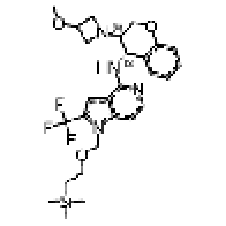 COC1CN([C@H]2COc3ccccc3[C@@H]2Nc2nccc3c2cc(C(F)(F)F)n3COCC[Si](C)(C)C)C1